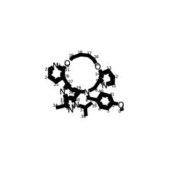 COc1ccc(CN2Cc3ncccc3OCCCCOc3ncccc3-c3cc2c2c(n3)c(C)nn2C(C)C)cc1